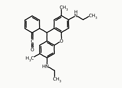 CCNc1cc2c(cc1C)C(C1C=CC=CC1=C=O)c1cc(C)c(NCC)cc1O2